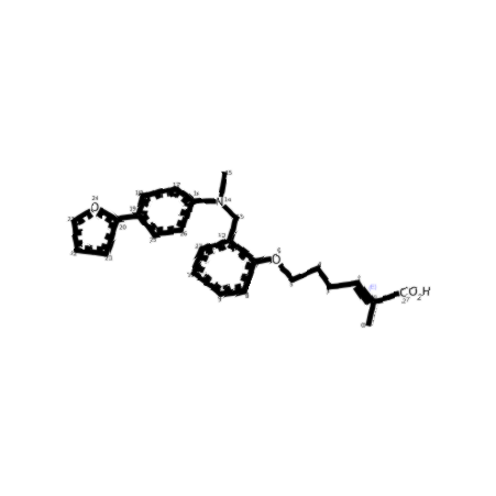 C/C(=C\CCCOc1ccccc1CN(C)c1ccc(-c2ccco2)cc1)C(=O)O